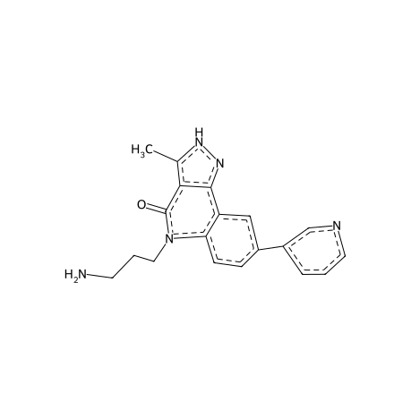 Cc1[nH]nc2c1c(=O)n(CCCN)c1ccc(-c3cccnc3)cc21